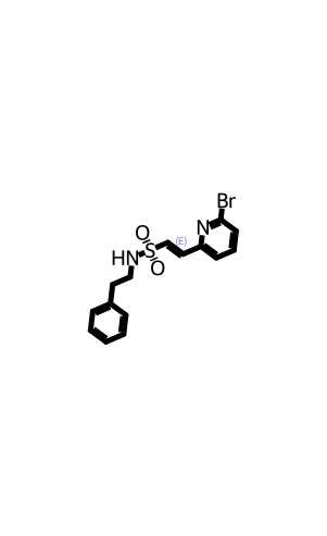 O=S(=O)(/C=C/c1cccc(Br)n1)NCCc1ccccc1